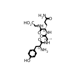 C[C@H](NC(=O)[C@@H](N)Cc1ccc(O)cc1)C(=O)N[C@@H](CCC(N)=O)C(=O)NCC(=O)O